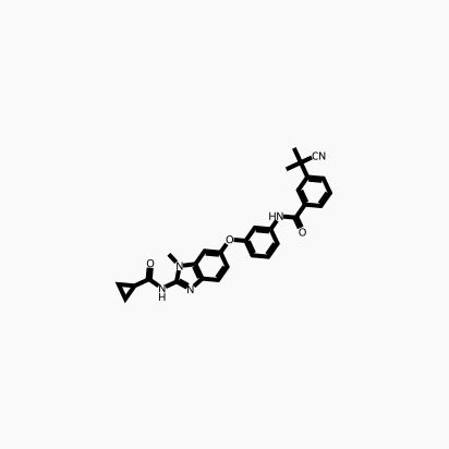 Cn1c(NC(=O)C2CC2)nc2ccc(Oc3cccc(NC(=O)c4cccc(C(C)(C)C#N)c4)c3)cc21